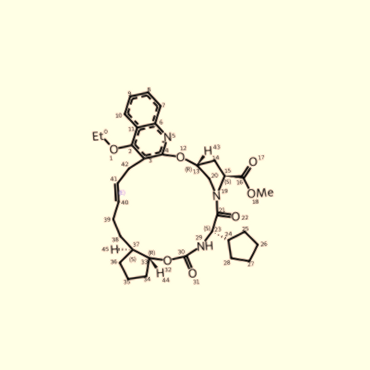 CCOc1c2c(nc3ccccc13)O[C@@H]1C[C@@H](C(=O)OC)N(C1)C(=O)[C@H](C1CCCC1)NC(=O)O[C@@H]1CCC[C@H]1CC/C=C/C2